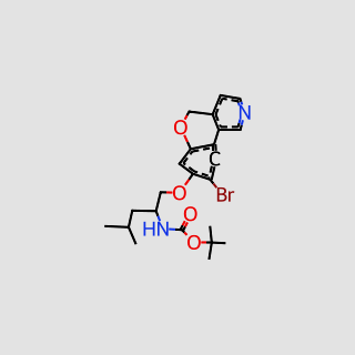 CC(C)CC(COc1cc2c(cc1Br)-c1cnccc1CO2)NC(=O)OC(C)(C)C